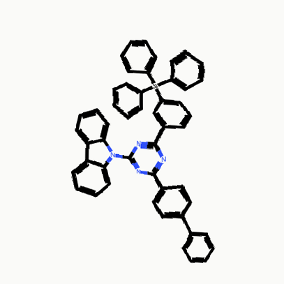 c1ccc(-c2ccc(-c3nc(-c4cccc([Si](c5ccccc5)(c5ccccc5)c5ccccc5)c4)nc(-n4c5ccccc5c5ccccc54)n3)cc2)cc1